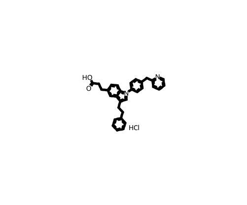 Cl.O=C(O)CCc1ccc2c(c1)c(CCc1ccccc1)cn2-c1ccc(Cc2ccccn2)cc1